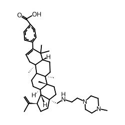 C=C(C)[C@@H]1CC[C@]2(CNCCN3CCN(C)CC3)CC[C@]3(C)[C@H](CCC4[C@@]5(C)CC=C(c6ccc(C(=O)O)cc6)C(C)(C)[C@@H]5CC[C@]43C)[C@@H]12